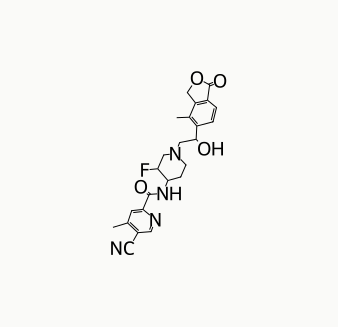 Cc1cc(C(=O)NC2CCN(CC(O)c3ccc4c(c3C)COC4=O)CC2F)ncc1C#N